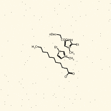 CCCCCCCCCCC(=O)[O-].CCCCCCCCCCCC(=O)[O-].CCc1[nH]cc[n+]1C.CCn1cc[n+](C)c1